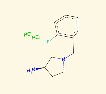 Cl.Cl.N[C@@H]1CCN(Cc2ccccc2F)C1